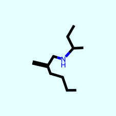 C=C(CCCC)CNC(C)CC